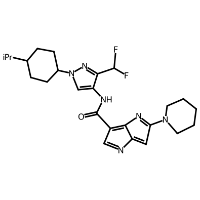 CC(C)C1CCC(n2cc(NC(=O)C3=C4N=C(N5CCCCC5)C=C4N=C3)c(C(F)F)n2)CC1